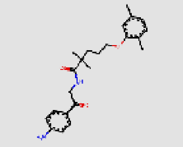 Cc1ccc(C)c(OCCCC(C)(C)C(=O)NCC(=O)c2ccc(N)cc2)c1